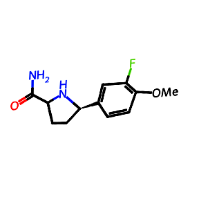 COc1ccc([C@H]2CCC(C(N)=O)N2)cc1F